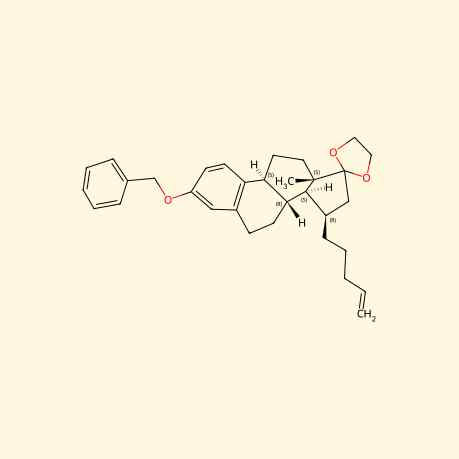 C=CCCC[C@@H]1CC2(OCCO2)[C@@]2(C)CC[C@@H]3c4ccc(OCc5ccccc5)cc4CC[C@H]3[C@H]12